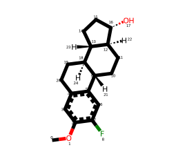 COc1cc2c(cc1F)[C@H]1CC[C@H]3[C@@H](CC[C@@H]3O)[C@@H]1CC2